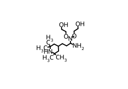 CC1(C)CC(CCC(N)N(OCCO)OCCO)CC(C)(C)N1